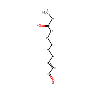 CCC(=O)CCCCCC=CC=O